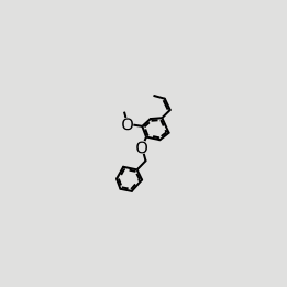 C/C=C\c1ccc(OCc2ccccc2)c(OC)c1